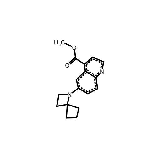 COC(=O)c1ccnc2ccc(N3CCC34CCC4)cc12